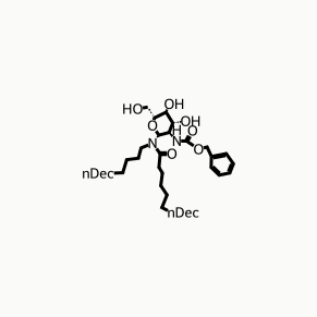 CCCCCCCCCCCCCCCC(=O)N(CCCCCCCCCCCCCC)[C@@H]1O[C@H](CO)[C@@H](O)[C@H](O)[C@H]1NC(=O)OCc1ccccc1